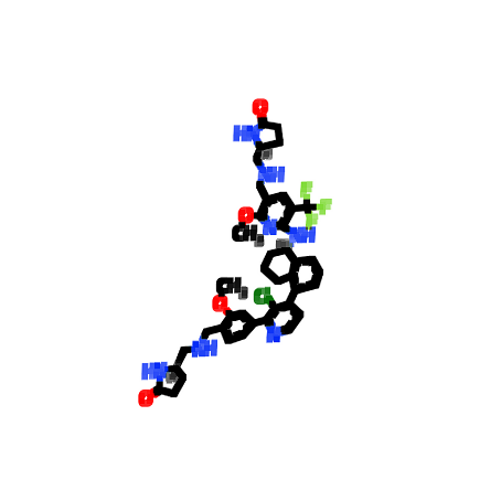 COc1cc(-c2nccc(-c3cccc4c3CCC[C@@H]4Nc3nc(OC)c(CNC[C@@H]4CCC(=O)N4)cc3C(F)(F)F)c2Cl)ccc1CNC[C@H]1CCC(=O)N1